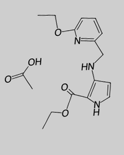 CC(=O)O.CCOC(=O)c1[nH]ccc1NCc1cccc(OCC)n1